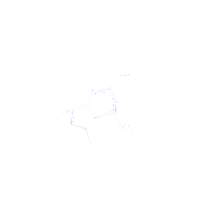 CCc1nc(N)c2c(I)c[nH]c2n1